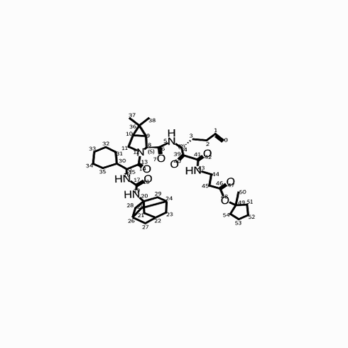 C=CCC[C@@H](NC(=O)[C@@H]1C2C(CN1C(=O)[C@@H](NC(=O)NC13CC4CC(CC(C4)C1)C3)C1CCCCC1)C2(C)C)C(=O)C(=O)NCCC(=O)OC1(C)CCCC1